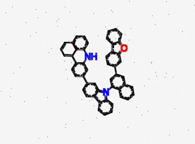 C1=CCCC(c2ccc(-c3ccc4c5ccccc5n(-c5cc(-c6ccc7c(c6)oc6ccccc67)cc6ccccc56)c4c3)cc2Nc2ccccc2)=C1